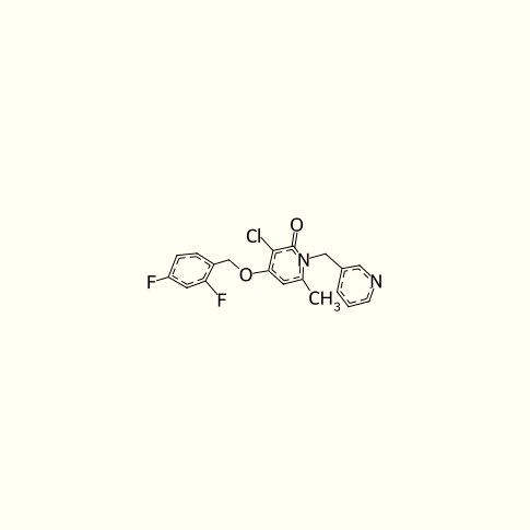 Cc1cc(OCc2ccc(F)cc2F)c(Cl)c(=O)n1Cc1cccnc1